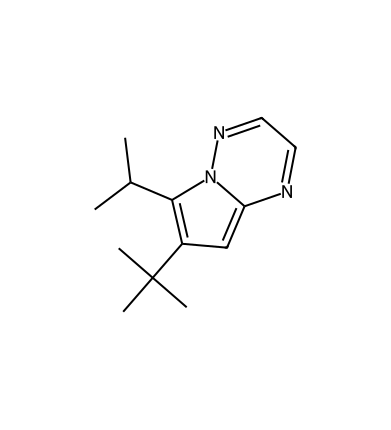 CC(C)c1c(C(C)(C)C)cc2nccnn12